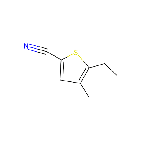 CCc1sc(C#N)cc1C